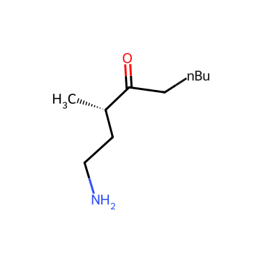 CCCCCC(=O)[C@@H](C)CCN